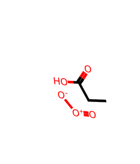 CCC(=O)O.O=[O+][O-]